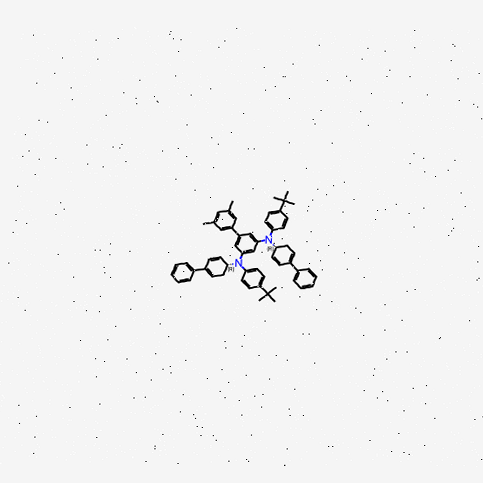 Cc1cc(C)cc(-c2cc(N(c3ccc(C(C)(C)C)cc3)[C@H]3C=CC(c4ccccc4)=CC3)cc(N(c3ccc(C(C)(C)C)cc3)[C@H]3C=CC(c4ccccc4)=CC3)c2)c1